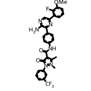 COc1cccc(-c2cnc(N)c(-c3ccc(NC(=O)c4c(C)n(C)n(-c5cccc(C(F)(F)F)c5)c4=O)cc3)n2)c1F